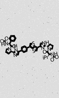 COC(=O)N[C@H](C(=O)N1CCC[C@H]1c1nc(-c2csc3c(-c4ccc(-c5cnc(C6C=CCN6C(=O)[C@H](NC(=O)OC)c6ccccc6)[nH]5)cc4)csc23)c[nH]1)C(C)C